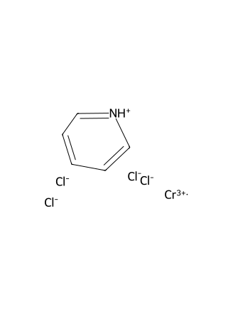 [Cl-].[Cl-].[Cl-].[Cl-].[Cr+3].c1cc[nH+]cc1